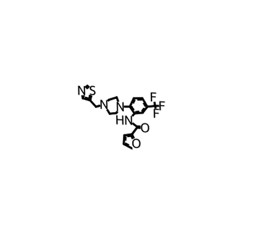 O=C(Nc1cc(C(F)(F)F)ccc1N1CCN(Cc2cncs2)CC1)c1ccco1